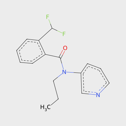 CCCN(C(=O)c1ccccc1C(F)F)c1cccnc1